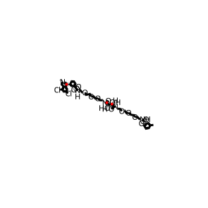 Cc1cccc(S(=O)(=O)NCCOCCOCCOCCNC(=O)[C@@H](O)[C@H](O)C(=O)NCCOCCOCCOCCNS(=O)(=O)c2cccc([C@@H]3CN(C)Cc4c(Cl)cc(Cl)cc43)c2)c1